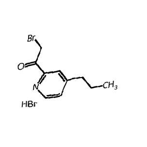 Br.CCCc1ccnc(C(=O)CBr)c1